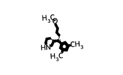 COCCCC[C@H](c1cc(C)cc(C)c1)[C@H]1CCCNC1